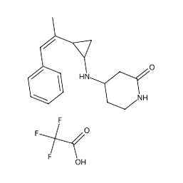 CC(=Cc1ccccc1)C1CC1NC1CCNC(=O)C1.O=C(O)C(F)(F)F